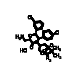 CCC(CS(=O)(=O)C(C)(C)C)N1C(=O)[C@@H](CN)O[C@H](c2cccc(Cl)c2)[C@H]1c1ccc(Cl)cc1.Cl